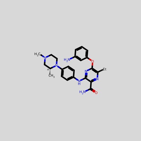 CCc1nc(C(N)=O)c(Nc2ccc(N3CCN(C)C[C@H]3C)cc2)nc1Oc1cccc(N)c1